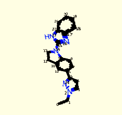 CCn1ccc(-c2ccc3c(c2)CCN3c2nc3ccccc3[nH]2)n1